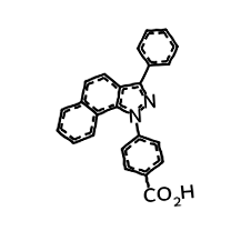 O=C(O)c1ccc(-n2nc(-c3ccccc3)c3ccc4ccccc4c32)cc1